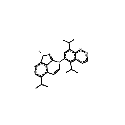 CC(C)c1ccc2c3c1C=CN(c1cc(C(C)C)c4nnccc4c1C(C)C)C3=N[C@H]2C